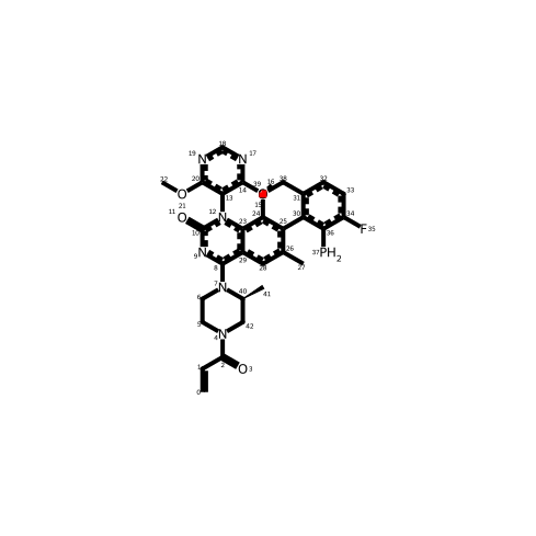 C=CC(=O)N1CCN(c2nc(=O)n(-c3c(OC)ncnc3OC)c3c4c(c(C)cc23)-c2c(ccc(F)c2P)CO4)[C@@H](C)C1